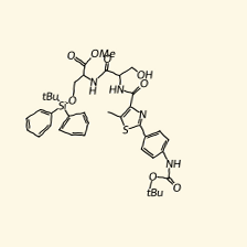 COC(=O)C(CO[Si](c1ccccc1)(c1ccccc1)C(C)(C)C)NC(=O)C(CO)NC(=O)c1nc(-c2ccc(NC(=O)OC(C)(C)C)cc2)sc1C